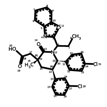 CCC(c1nc2ccccc2s1)N1C(=O)[C@@](C)(CC(=O)O)C[C@H](c2cccc(Cl)c2)[C@H]1c1ccc(Cl)cc1